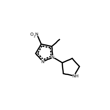 Cc1c([N+](=O)[O-])cnn1C1CCNC1